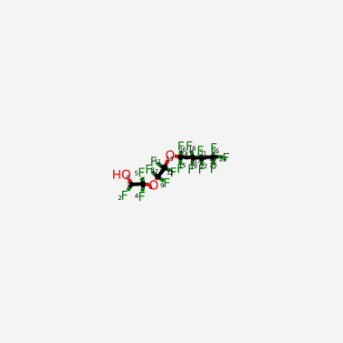 OC(F)C(F)(F)OC(F)(F)C(F)(F)OC(F)(F)C(F)(F)C(F)(F)C(F)(F)F